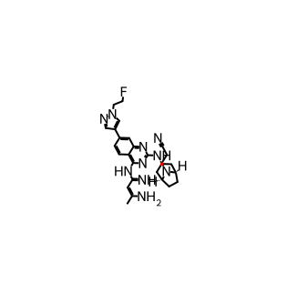 C/C(N)=C/C(=N)Nc1nc(N[C@@H]2C[C@H]3CC[C@@H](C2)N3CCC#N)nc2cc(-c3cnn(CCF)c3)ccc12